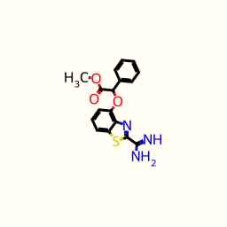 COC(=O)C(Oc1cccc2sc(C(=N)N)nc12)c1ccccc1